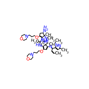 C/C=C\C(=N/C1=CC(OCCCN2CCOCC2)=C(NC(C)NC2=C(OCCCN3CCOCC3)C[C@@H](N)C2(C)NC)[C@]1(C)[C@@H](C)N)c1cc(C)nn1CC